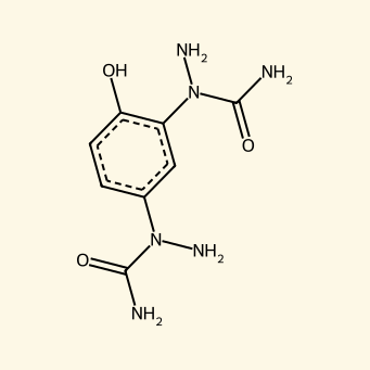 NC(=O)N(N)c1ccc(O)c(N(N)C(N)=O)c1